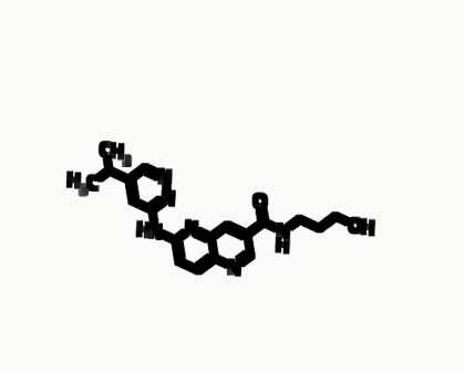 CC(C)c1cnnc(Nc2ccc3ncc(C(=O)NCCCO)cc3n2)c1